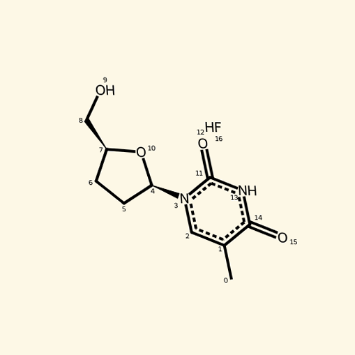 Cc1cn([C@H]2CC[C@@H](CO)O2)c(=O)[nH]c1=O.F